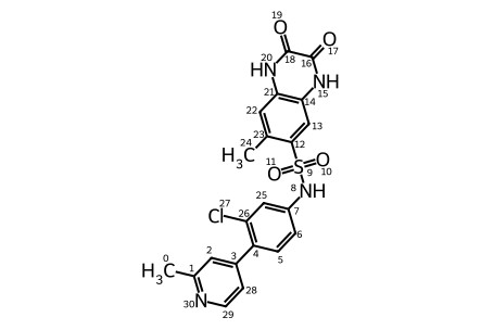 Cc1cc(-c2ccc(NS(=O)(=O)c3cc4[nH]c(=O)c(=O)[nH]c4cc3C)cc2Cl)ccn1